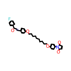 O=C(/C=C/c1ccc(OCCCCCCCCCCOc2ccc(N3C(=O)C=CC3=O)cc2)cc1)c1ccc(F)cc1